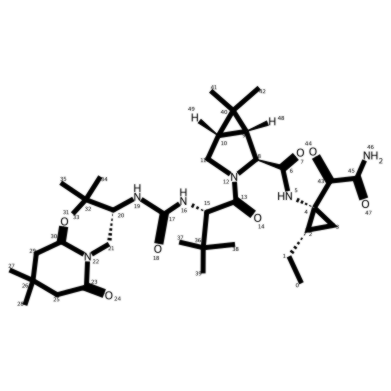 CC[C@H]1C[C@]1(NC(=O)[C@@H]1[C@@H]2[C@H](CN1C(=O)[C@@H](NC(=O)N[C@H](CN1C(=O)CC(C)(C)CC1=O)C(C)(C)C)C(C)(C)C)C2(C)C)C(=O)C(N)=O